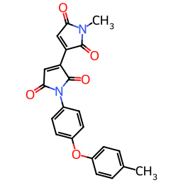 Cc1ccc(Oc2ccc(N3C(=O)C=C(C4=CC(=O)N(C)C4=O)C3=O)cc2)cc1